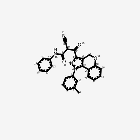 Cc1cccc(-n2nc(C(=O)C(C#N)C(=O)Nc3ccccc3)c3c2-c2ccccc2OC3)c1